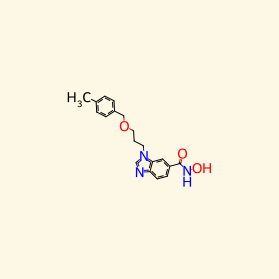 Cc1ccc(COCCCn2cnc3ccc(C(=O)NO)cc32)cc1